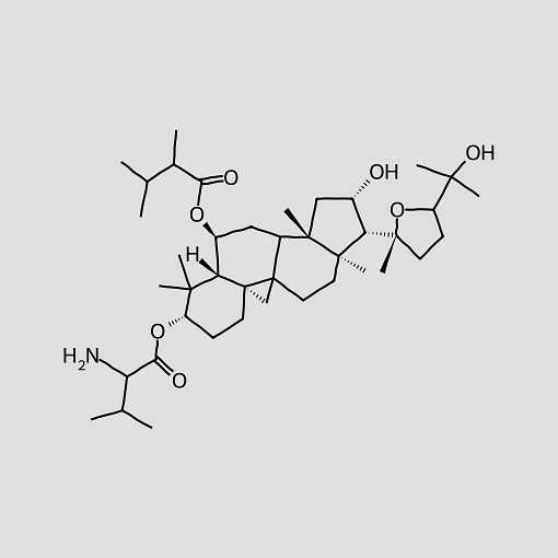 CC(C)C(C)C(=O)O[C@H]1CC2C3(CC[C@]4(C)[C@@H]([C@@]5(C)CCC(C(C)(C)O)O5)[C@@H](O)C[C@@]24C)C[C@@]32CC[C@H](OC(=O)C(N)C(C)C)C(C)(C)[C@H]12